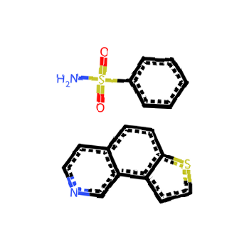 NS(=O)(=O)c1ccccc1.c1cc2ccc3sccc3c2cn1